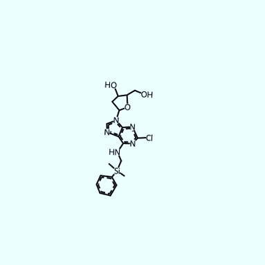 C[Si](C)(CNc1nc(Cl)nc2c1ncn2C1CC(O)C(CO)O1)c1ccccc1